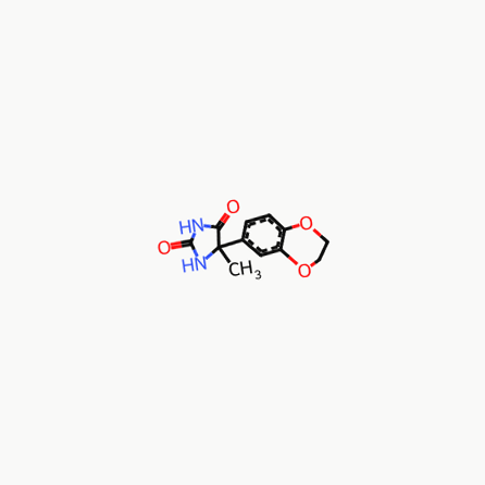 CC1(c2ccc3c(c2)OCCO3)NC(=O)NC1=O